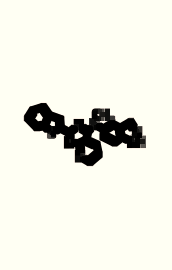 CN(c1ccc2[nH]ncc2c1)c1nc(-c2cc3ccccc3s2)nc2ncccc12